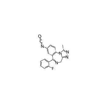 Cc1nnc2n1-c1ccc(N=C=O)cc1C(c1ccccc1F)=NC2